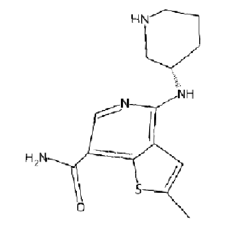 Cc1cc2c(N[C@H]3CCCNC3)ncc(C(N)=O)c2s1